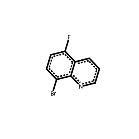 Fc1ccc(Br)c2ncccc12